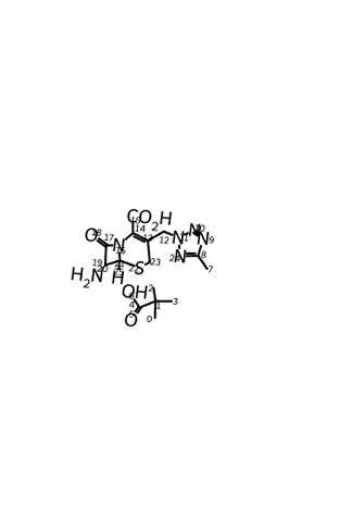 CC(C)(C)C(=O)O.Cc1nnn(CC2=C(C(=O)O)N3C(=O)[C@@H](N)[C@H]3SC2)n1